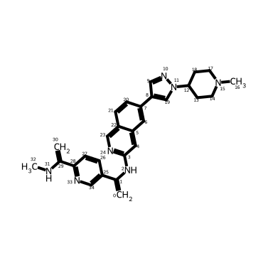 C=C(Nc1cc2cc(-c3cnn(C4CCN(C)CC4)c3)ccc2cn1)c1ccc(C(=C)NC)nc1